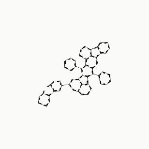 c1ccc(-c2c3cc4c5ccccc5c5cccc(c3c(-c3ccccc3)c3c6cc(-c7ccc8sc9ccccc9c8c7)cc7cccc(c23)c76)c54)cc1